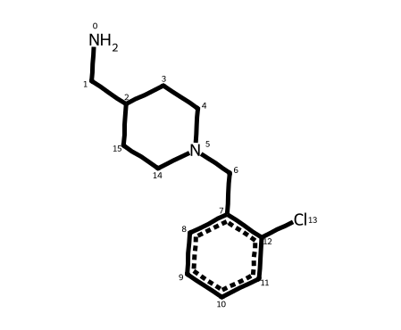 NCC1CCN(Cc2ccccc2Cl)CC1